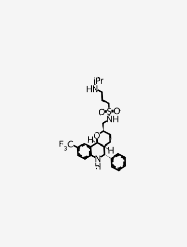 CC(C)NCCCS(=O)(=O)NC[C@H]1CC[C@@H]2[C@H](O1)c1cc(C(F)(F)F)ccc1N[C@H]2c1ccccc1